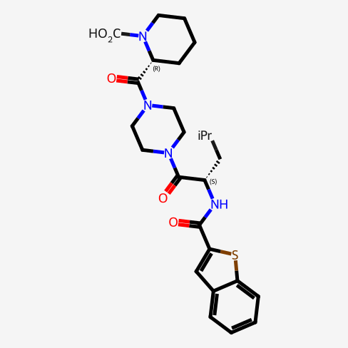 CC(C)C[C@H](NC(=O)c1cc2ccccc2s1)C(=O)N1CCN(C(=O)[C@H]2CCCCN2C(=O)O)CC1